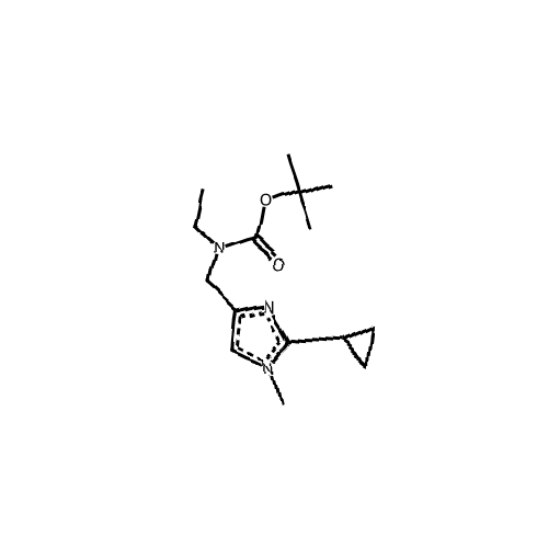 CCN(Cc1cn(C)c(C2CC2)n1)C(=O)OC(C)(C)C